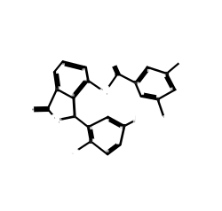 O=C(Nc1cccc2c1C(c1cc(F)ccc1Br)NC2=O)c1cc(F)cc(C(F)(F)F)c1